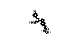 O=C(C=Cc1ccc2c(c1)CCC2N(CCCO)CCc1ccc(Cl)cc1)NO